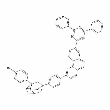 Brc1ccc(C23CC4CC2CC(c2ccc(-c5ccc6ccc7cc(-c8nc(-c9ccccc9)nc(-c9ccccc9)n8)ccc7c6c5)cc2)(C4)C3)cc1